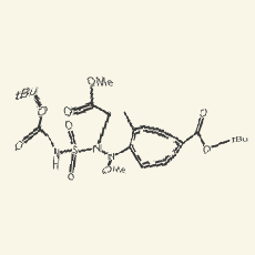 COC(=O)CN(N(OC)c1ccc(C(=O)OC(C)(C)C)cc1C)S(=O)(=O)NC(=O)OC(C)(C)C